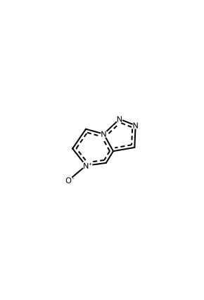 [O-][n+]1ccn2nncc2c1